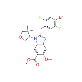 COC(=O)c1cc2c(cc1OC)nc(Cc1cc(F)c(Br)cc1F)n2[C@@H]1COCC1(C)C